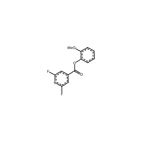 COc1ccccc1OC(=O)c1cc(F)nc(F)c1